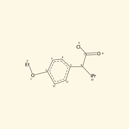 CCOc1ccc(C(C(=O)Cl)C(C)C)cc1